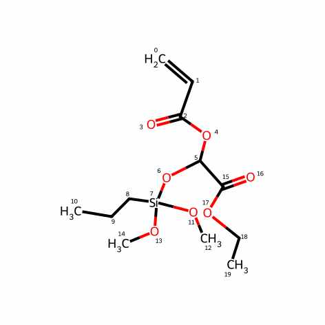 C=CC(=O)OC(O[Si](CCC)(OC)OC)C(=O)OCC